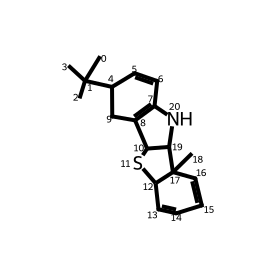 CC(C)(C)C1C=CC2=C(C1)C1SC3C=CC=CC3(C)C1N2